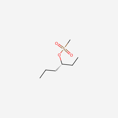 CCC[C@@H](CC)OS(C)(=O)=O